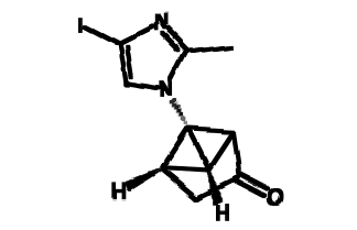 Cc1nc(I)cn1[C@@]12C3C(=O)C[C@H]1[C@@H]32